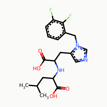 CC(C)CC(NC(Cc1cncn1Cc1cccc(F)c1F)C(=O)O)C(=O)O